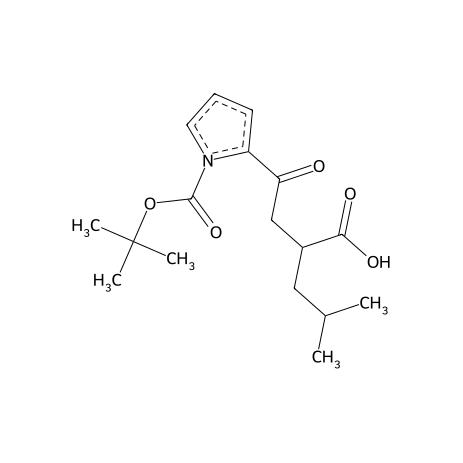 CC(C)CC(CC(=O)c1cccn1C(=O)OC(C)(C)C)C(=O)O